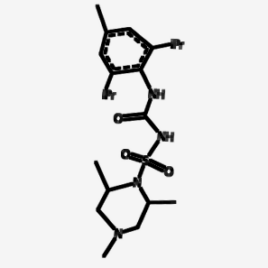 Cc1cc(C(C)C)c(NC(=O)NS(=O)(=O)N2C(C)CN(C)CC2C)c(C(C)C)c1